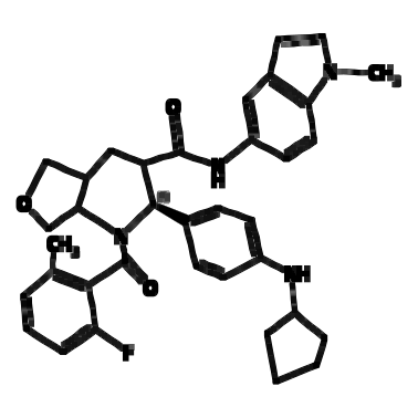 Cc1cccc(F)c1C(=O)N1C2COCC2CC(C(=O)Nc2ccc3c(ccn3C)c2)[C@H]1c1ccc(NC2CCCC2)cc1